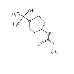 CCC(=O)NC1CCN(C(C)(C)C)CC1